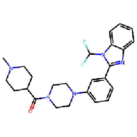 CN1CCC(C(=O)N2CCN(c3cccc(-c4nc5ccccc5n4C(F)F)c3)CC2)CC1